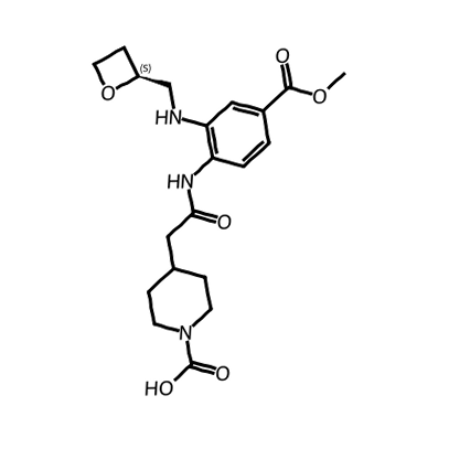 COC(=O)c1ccc(NC(=O)CC2CCN(C(=O)O)CC2)c(NC[C@@H]2CCO2)c1